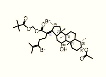 CC(=O)O[C@@H]1CC[C@@]2(C)C(CC[C@@]3(C)C2[C@H](O)CC2/C(=C(\CCC(Br)=C(C)C)C(=O)OCOC(=O)C(C)(C)C)[C@H](Br)C[C@@]23C)[C@@H]1C